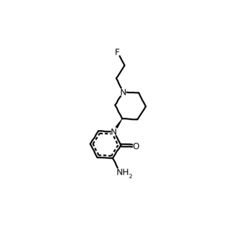 Nc1cccn([C@@H]2CCCN(CCF)C2)c1=O